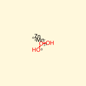 OOO.[Mn].[Zn]